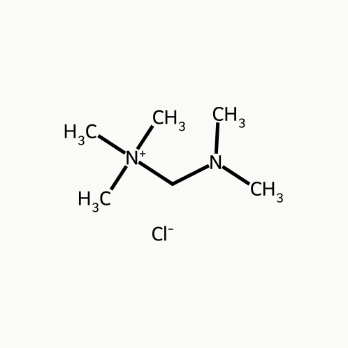 CN(C)C[N+](C)(C)C.[Cl-]